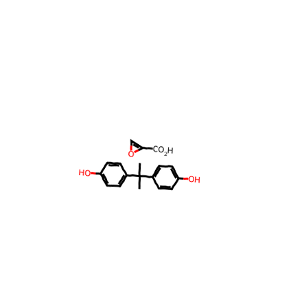 CC(C)(c1ccc(O)cc1)c1ccc(O)cc1.O=C(O)C1=CO1